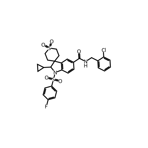 O=C(NCc1ccccc1Cl)c1ccc2c(c1)C1(CCS(=O)(=O)CC1)C(C1CC1)N2S(=O)(=O)c1ccc(F)cc1